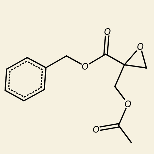 CC(=O)OCC1(C(=O)OCc2ccccc2)CO1